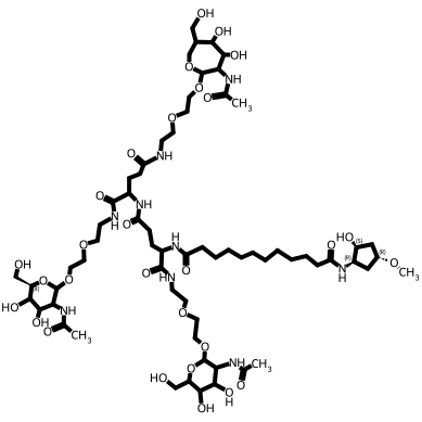 CO[C@H]1C[C@H](O)[C@H](NC(=O)CCCCCCCCCCC(=O)NC(CCC(=O)NC(CCC(=O)NCCOCCOC2OCC(CO)C(O)C(O)C2NC(C)=O)C(=O)NCCOCCOC2O[C@H](CO)C(O)C(O)C2NC(C)=O)C(=O)NCCOCCOC2OC(CO)C(O)C(O)C2NC(C)=O)C1